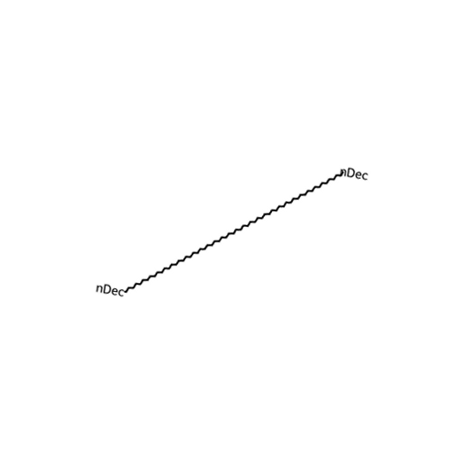 CCCCCCCCCCCCCCCCCCCCCCCCCCCCCCCCCCCCCCCCCCCCCCCCCCCCCCCCCCCCCCCCCCCCCCCCCCCCCCCCC